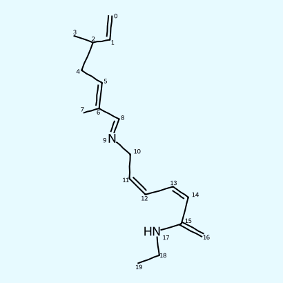 C=CC(C)C/C=C(C)/C=N/C/C=C\C=C/C(=C)NCC